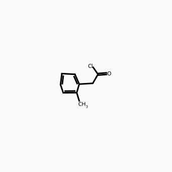 Cc1ccccc1CC(=O)Cl